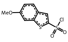 COc1ccc2cc(S(=O)(=O)Cl)sc2c1